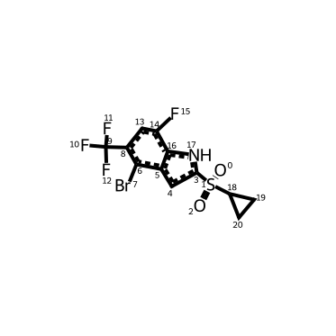 O=S(=O)(c1cc2c(Br)c(C(F)(F)F)cc(F)c2[nH]1)C1CC1